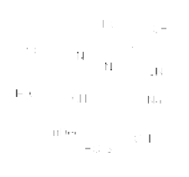 CC(C)(C#N)N=NC(C)(C)C#N.CCCCCCCCCCC[CH2][Na].O=S(=O)(O)O